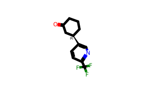 O=C1CCC[C@@H](c2ccc(C(F)(F)F)nc2)C1